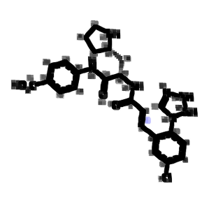 O=C(/C=C/c1cc(Cl)ccc1N1C=NNN1)N[C@@H](C[C@@H]1CCCN1)C(=O)Nc1ccc(C(=O)O)cc1